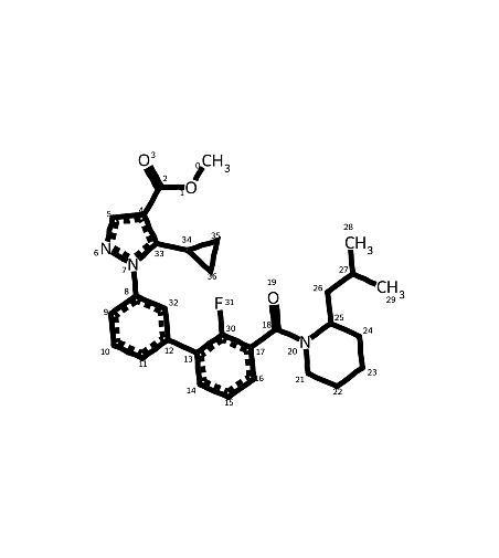 COC(=O)c1cnn(-c2cccc(-c3cccc(C(=O)N4CCCCC4CC(C)C)c3F)c2)c1C1CC1